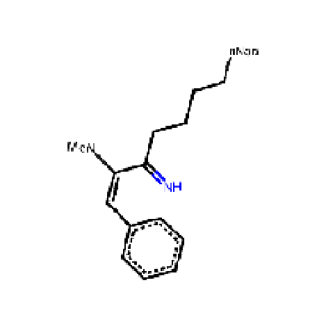 CCCCCCCCCCCCCC(=N)/C(=C\c1ccccc1)NC